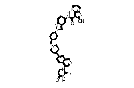 N#Cc1nn2cccnc2c1C(=O)Nc1ccc2nn(C3CCC(CN4CCC(c5ccc6c(N7CCC(=O)NC7=O)cncc6c5)CC4)CC3)cc2c1